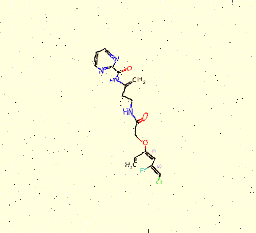 C=C/C(=C\C(F)=C\Cl)OCC(=O)NCCC(=C)NC(=O)c1ncccn1